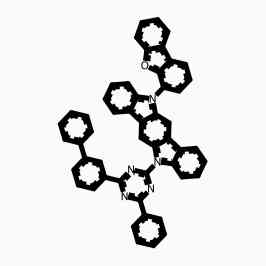 c1ccc(-c2cccc(-c3nc(-c4ccccc4)nc(-n4c5ccccc5c5cc6c(cc54)c4ccccc4n6-c4cccc5c4oc4ccccc45)n3)c2)cc1